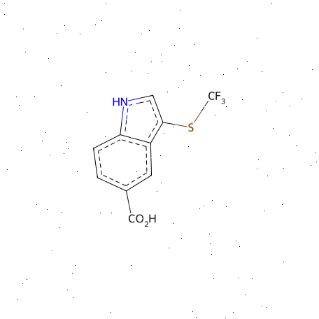 O=C(O)c1ccc2[nH]cc(SC(F)(F)F)c2c1